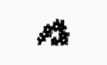 CC(C)CC(=O)Nc1cncc(-c2cc(F)c3[nH]nc(-c4nc5c(-c6ccsc6)ccnc5[nH]4)c3c2)c1